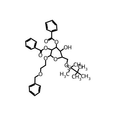 CC(C)(C)[Si](C)(C)OCC1OC(OCCOCc2ccccc2)C(OC(=O)c2ccccc2)C(OC(=O)c2ccccc2)C1O